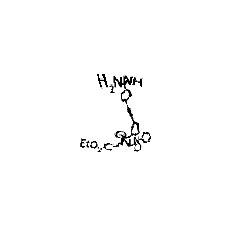 CCOC(=O)CCN1CC(=O)N(c2ccccc2)c2ccc(C#Cc3ccc(C(=N)N)cc3)cc2C1=O